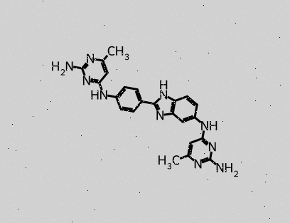 Cc1cc(Nc2ccc(-c3nc4cc(Nc5cc(C)nc(N)n5)ccc4[nH]3)cc2)nc(N)n1